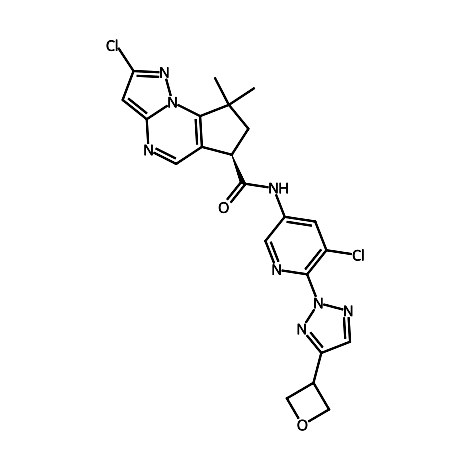 CC1(C)C[C@@H](C(=O)Nc2cnc(-n3ncc(C4COC4)n3)c(Cl)c2)c2cnc3cc(Cl)nn3c21